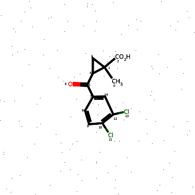 CC1(C(=O)O)CC1C(=O)c1ccc(Cl)c(Cl)c1